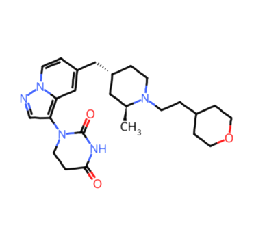 C[C@H]1C[C@H](Cc2ccn3ncc(N4CCC(=O)NC4=O)c3c2)CCN1CCC1CCOCC1